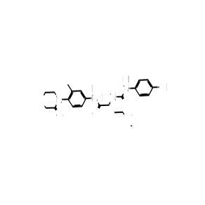 Cc1cc(NC(=O)[C@@H](CCS(C)(=O)=O)NC(=O)Nc2ccc(Cl)cc2)ccc1N1CCOCC1=O